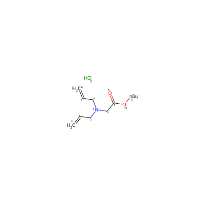 C=CCN(CC=C)CC(=O)OCCCC.Cl